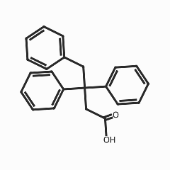 O=C(O)CC(Cc1ccccc1)(c1ccccc1)c1ccccc1